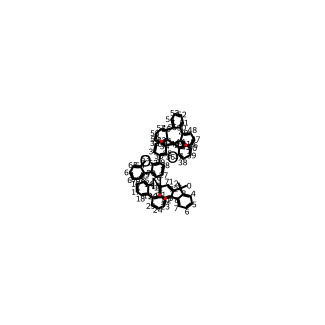 CC1(C)c2ccccc2-c2ccc(N(c3ccccc3-c3ccccc3)c3ccc(-c4cccc5c4Oc4ccccc4C54c5ccccc5-c5ccccc5-c5ccccc54)c4oc5ccccc5c34)cc21